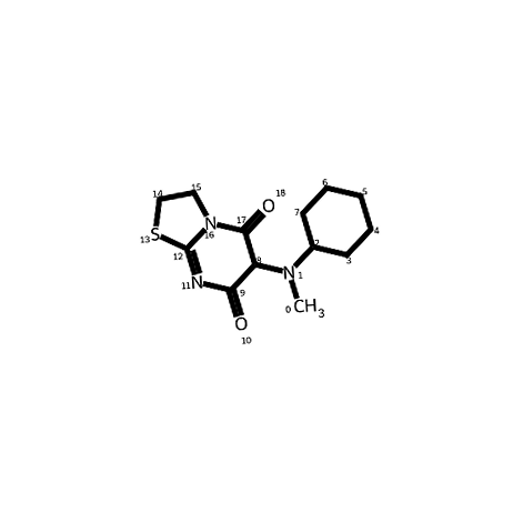 CN(C1CCCCC1)C1C(=O)N=C2SCCN2C1=O